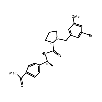 COC(=O)c1ccc([C@H](C)NC(=O)[C@H]2CCCN2Cc2cc(Br)cc(OC)c2)cc1